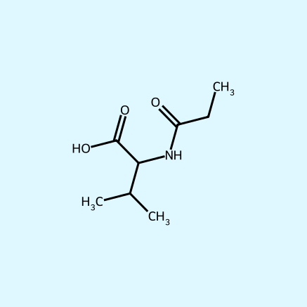 CCC(=O)NC(C(=O)O)C(C)C